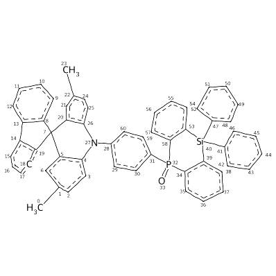 Cc1ccc2c(c1)C1(c3ccccc3-c3ccccc31)c1cc(C)ccc1N2c1ccc(P2(=O)c3ccccc3[Si](c3ccccc3)(c3ccccc3)c3ccccc32)cc1